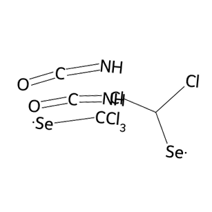 ClC(Cl)(Cl)[Se].ClC(Cl)[Se].N=C=O.N=C=O